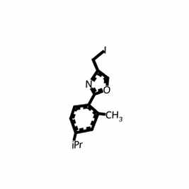 Cc1cc(C(C)C)ccc1-c1nc(CI)co1